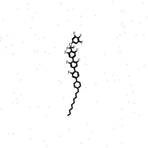 CCCCCCCCCCC1CCC(c2ccc(-c3cc(F)c(-c4cc(F)c(C(F)(F)Oc5cc(F)c(F)c(F)c5)c(F)c4)c(F)c3)c(F)c2)CC1